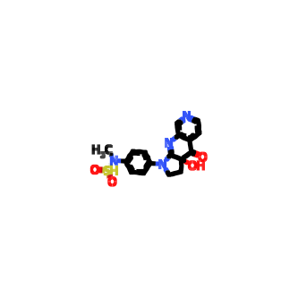 CN(c1ccc(N2CCC3(O)C(=O)c4ccncc4N=C23)cc1)[SH](=O)=O